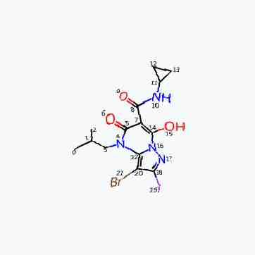 CC(C)Cn1c(=O)c(C(=O)NC2CC2)c(O)n2nc(I)c(Br)c12